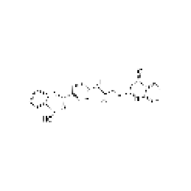 O=C(CCC1=Nc2ccccc2C(=O)C1)Nc1ccc(C(=O)Nc2ccccc2CO)cc1